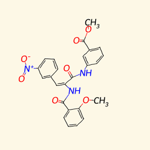 COC(=O)c1cccc(NC(=O)/C(=C\c2cccc([N+](=O)[O-])c2)NC(=O)c2ccccc2OC)c1